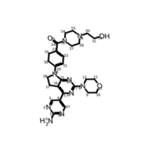 Nc1ncc(-c2nc(N3CCOCC3)nc3c2CCN3C2=CC=C(C(=O)N3CCN(CCO)CC3)CC2)cn1